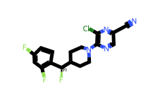 N#Cc1cnc(N2CCC([C@@H](F)c3ccc(F)cc3F)CC2)c(Cl)n1